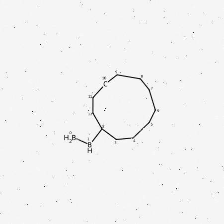 BBC1CCCCCCCCCC1